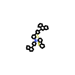 c1ccc2c(-c3ccc(N(c4cccc5c4sc4ccccc45)c4cccc5c4sc4cc(-c6cc7ccccc7c7ccccc67)ccc45)cc3)cccc2c1